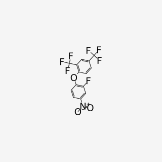 O=[N+]([O-])c1ccc(Oc2ccc(C(F)(F)F)cc2C(F)(F)F)c(F)c1